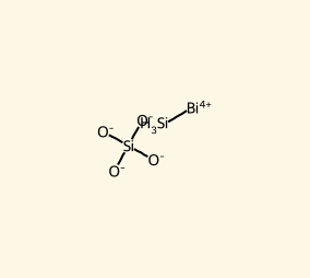 [O-][Si]([O-])([O-])[O-].[SiH3][Bi+4]